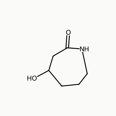 O=C1CC(O)CCCN1